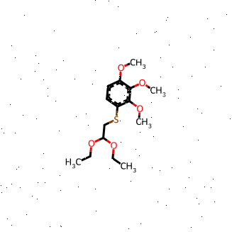 CCOC(CSc1ccc(OC)c(OC)c1OC)OCC